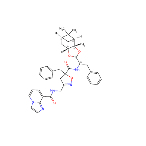 CC1(C)[C@@H]2C[C@H]3OB([C@H](Cc4ccccc4)NC(=O)C4(Cc5ccccc5)CC(CNC(=O)c5cccn6ccnc56)=NO4)O[C@@]3(C)[C@H]1C2